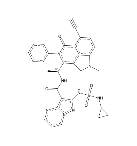 C#Cc1ccc2c3c(c([C@H](C)NC(=O)c4c(NS(=O)(=O)NC5CC5)nn5cccnc45)n(-c4ccccc4)c(=O)c13)CN2C